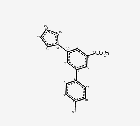 Cc1ccc(-c2cc(C(=O)O)cc(-c3ccns3)c2)cc1